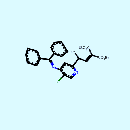 CCOC(=O)C(=CC(c1cc(N=C(c2ccccc2)c2ccccc2)c(F)cn1)C(C)C)C(=O)OCC